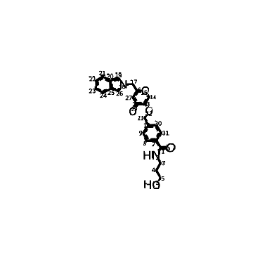 O=C(NCCCO)c1ccc(COc2coc(Cn3cc4ccccc4c3)cc2=O)cc1